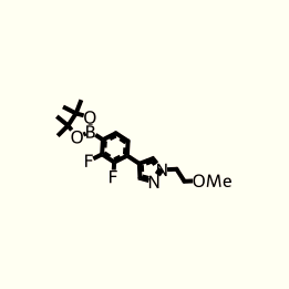 COCCn1cc(-c2ccc(B3OC(C)(C)C(C)(C)O3)c(F)c2F)cn1